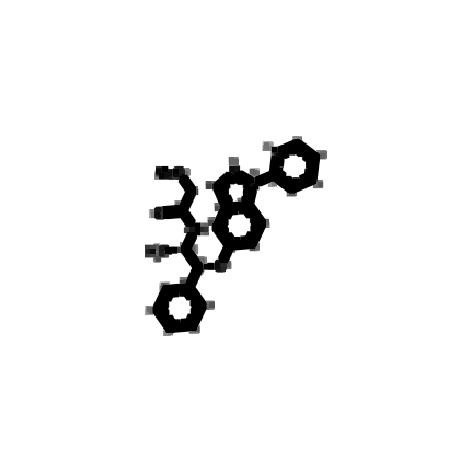 COCC(=O)N[C@@H](C)[C@H](Oc1ccc2c(cnn2-c2ccccn2)c1)c1ccccc1